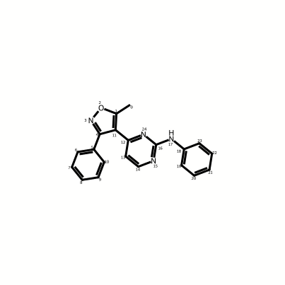 Cc1onc(-c2ccccc2)c1-c1ccnc(Nc2ccccc2)n1